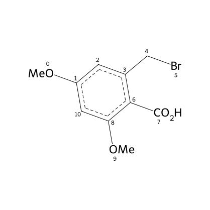 COc1cc(CBr)c(C(=O)O)c(OC)c1